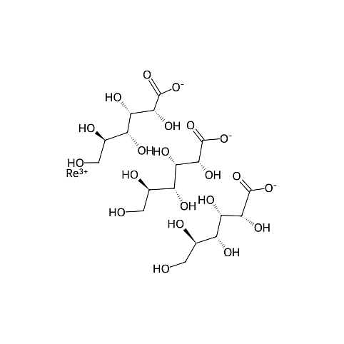 O=C([O-])[C@H](O)[C@@H](O)[C@H](O)[C@H](O)CO.O=C([O-])[C@H](O)[C@@H](O)[C@H](O)[C@H](O)CO.O=C([O-])[C@H](O)[C@@H](O)[C@H](O)[C@H](O)CO.[Re+3]